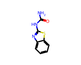 NC(=O)Nc1nc2ccccc2s1